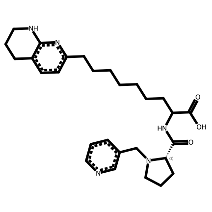 O=C(O)C(CCCCCCCc1ccc2c(n1)NCCC2)NC(=O)[C@@H]1CCCN1Cc1cccnc1